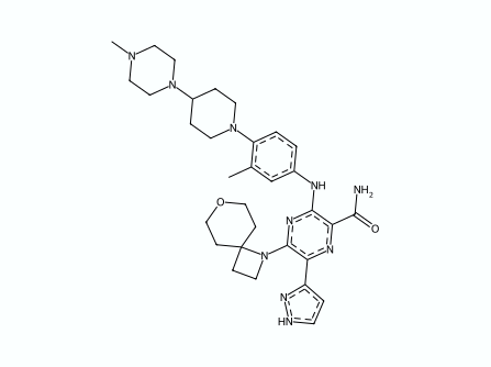 Cc1cc(Nc2nc(N3CCC34CCOCC4)c(-c3cc[nH]n3)nc2C(N)=O)ccc1N1CCC(N2CCN(C)CC2)CC1